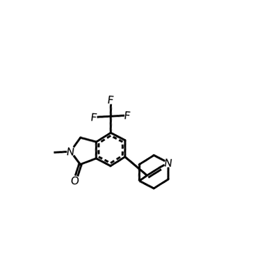 CN1Cc2c(cc(C3=CN4CCC3CC4)cc2C(F)(F)F)C1=O